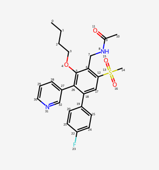 CCCCOc1c(CNC(C)=O)c(S(C)(=O)=O)cc(-c2ccc(F)cc2)c1-c1cccnc1